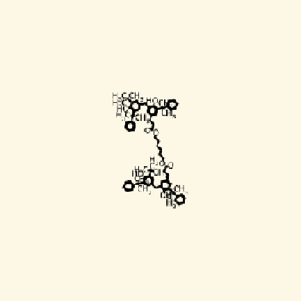 CC(C)(C)c1cc(Cc2cc(CCC(=O)OCCCCCCOC(=O)CCc3cc(Cc4cc(C(C)(C)C)c(O)c(C(C)(C)c5ccccc5)c4)c(O)c(C(C)(C)c4ccccc4)c3)cc(C(C)(C)c3ccccc3)c2O)cc(C(C)(C)c2ccccc2)c1O